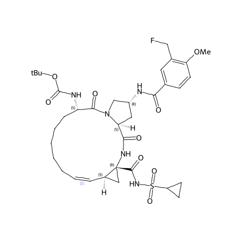 COc1ccc(C(=O)N[C@@H]2C[C@H]3C(=O)N[C@]4(C(=O)NS(=O)(=O)C5CC5)C[C@H]4/C=C\CCCCC[C@H](NC(=O)OC(C)(C)C)C(=O)N3C2)cc1CF